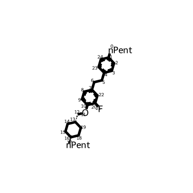 CCCCCc1ccc(CCc2ccc(OC[C@H]3CC[C@H](CCCCC)CC3)c(F)c2)cc1